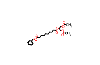 CC(=O)OCC(COC(C)=O)OC(=O)CCCCCCCCC(=O)OCc1ccccc1